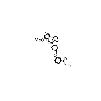 COc1cncc([C@@H]2CCON2C(=O)[C@H]2CC[C@H](COc3cccc(C(N)=O)c3)CC2)n1